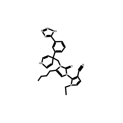 CCCCc1cn(-c2c(C#N)ccn2CC)c(=O)n1CC1(c2cccc(-c3nnn[nH]3)c2)C=CNC=C1